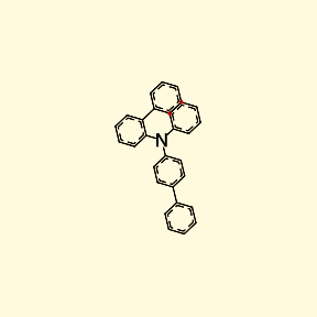 c1ccc(-c2ccc(N(c3ccccc3)c3ccccc3-c3ccccc3)cc2)cc1